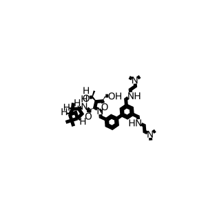 C[C@@H]1[C@@H](NC(=O)[C@@H]2[C@@H]([C@H](C)O)[C@H](CO)ON2Cc2cccc(-c3cc(CNCCN(C)C)cc(CNCCN(C)C)c3)c2)C[C@H]2C[C@@H]1C2(C)C